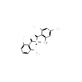 CCOc1cccc(OCC)c1C(=O)P(=O)(C(=O)c1c(C)cc(C)cc1C)C(C)CC